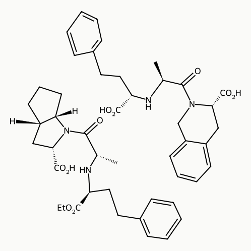 CCOC(=O)[C@H](CCc1ccccc1)N[C@@H](C)C(=O)N1[C@H](C(=O)O)C[C@@H]2CCC[C@@H]21.C[C@H](N[C@@H](CCc1ccccc1)C(=O)O)C(=O)N1Cc2ccccc2C[C@H]1C(=O)O